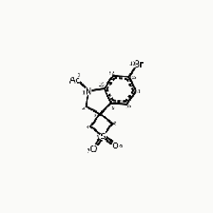 CC(=O)N1CC2(CS(=O)(=O)C2)c2ccc(Br)cc21